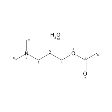 CC(=O)OCCCN(C)C.O